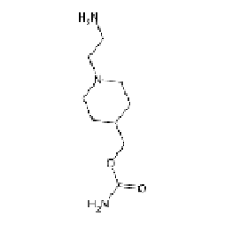 NCCN1CCC(COC(N)=O)CC1